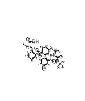 CC/C(=C\c1cc(C)ccc1S(=O)(=O)c1ccc(C[C@@H](C)N(C[C@@H](O)c2cccc(Cl)c2)C(=O)OC(C)(C)C)cc1)C(=O)O